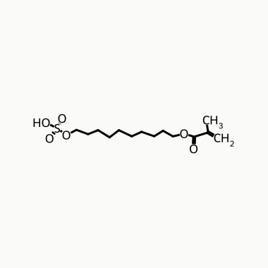 C=C(C)C(=O)OCCCCCCCCCCOS(=O)(=O)O